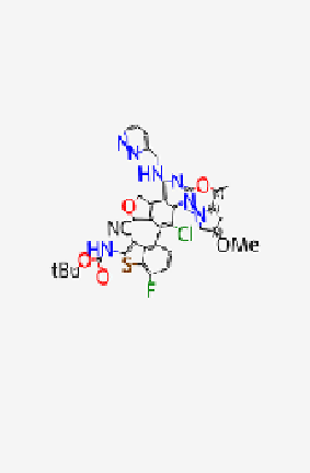 CO[C@@H]1C[C@@H]([C@H](C)Oc2nc(NCc3cccnn3)c3c4c(c(-c5ccc(F)c6sc(NC(=O)OC(C)(C)C)c(C#N)c56)c(Cl)c3n2)COC4)N(C)C1